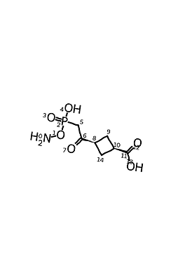 NOP(=O)(O)CC(=O)[C@H]1C[C@@H](C(=O)O)C1